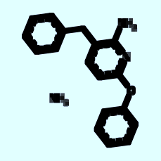 N.Nc1nc(Oc2ccccc2)ccc1Cc1ccccc1